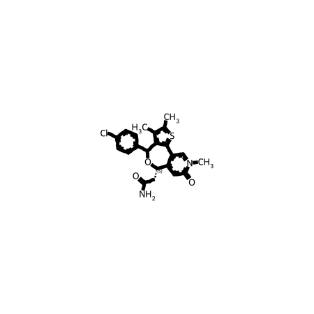 Cc1sc2c(c1C)C(c1ccc(Cl)cc1)O[C@@H](CC(N)=O)c1cc(=O)n(C)cc1-2